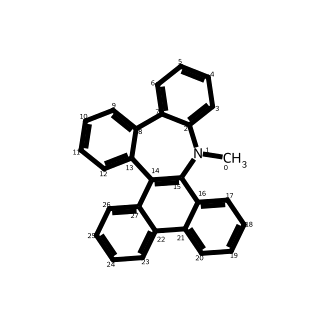 CN1c2ccccc2-c2ccccc2-c2c1c1ccccc1c1ccccc21